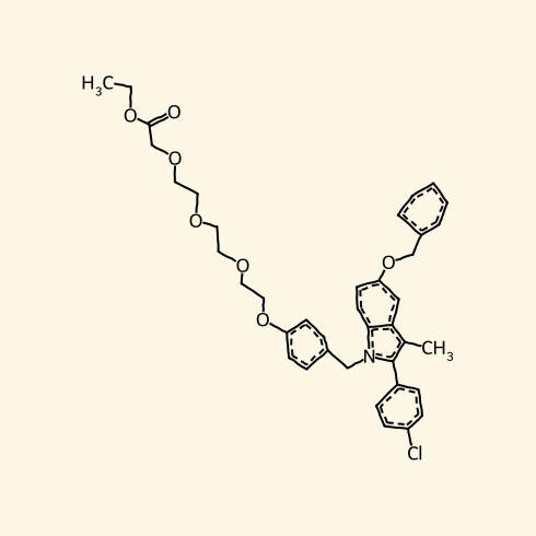 CCOC(=O)COCCOCCOCCOc1ccc(Cn2c(-c3ccc(Cl)cc3)c(C)c3cc(OCc4ccccc4)ccc32)cc1